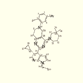 Cc1ccc(C(C)C)cc1N1CCc2nc(-c3c(C4CC4)cnc4c3ccn4SI)nc(N3CCCC(C)(C)C3)c2C1